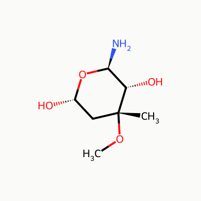 CO[C@]1(C)C[C@H](O)O[C@@H](N)[C@@H]1O